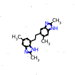 Cc1cc(CCc2cc3nc(C)[nH]c3cc2C)c2[nH]c(C)nc2c1